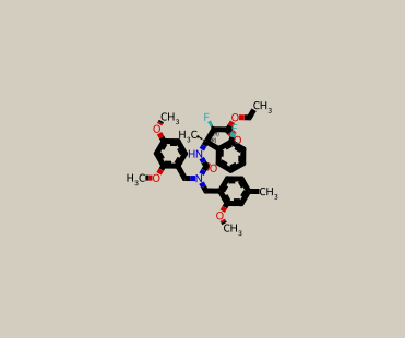 CCOC(=O)[C@H](F)[C@](C)(NC(=O)N(Cc1ccc(C)cc1OC)Cc1ccc(OC)cc1OC)c1ccccc1F